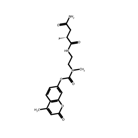 Cc1cc(=O)oc2cc(OC(=O)N(C)CCNC(=O)[C@H](I)CC(N)=O)ccc12